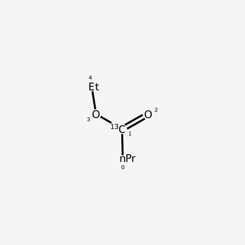 CC[13CH2][13C](=O)OCC